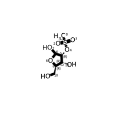 CS(=O)(=O)O[C@H]1C(O)O[C@H](CO)[C@H]1O